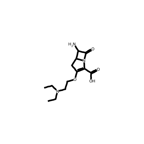 CCN(CC)CCOC1=C(C(=O)O)N2C(=O)C(N)C2C1